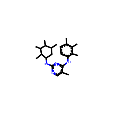 Cc1cnc(NC2CC(C)C(C)C(C)C2C)nc1Nc1ccc(C)c(C)c1C